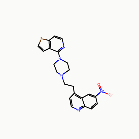 O=[N+]([O-])c1ccc2nccc(CCN3CCN(c4nccc5sccc45)CC3)c2c1